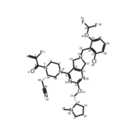 C=C(F)C(=O)N1CCN(c2nc(OC[C@@H]3CCCN3C)nc3c2CN(Cc2c(Cl)cccc2OC(F)F)C3)C[C@@H]1CC#N